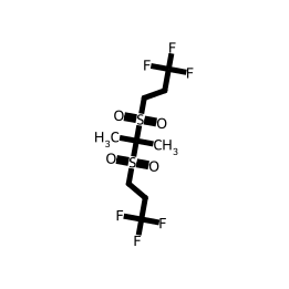 CC(C)(S(=O)(=O)CCC(F)(F)F)S(=O)(=O)CCC(F)(F)F